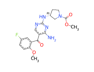 COC(=O)N1CC[C@@H](Nc2ncc(C(=O)c3cc(F)ccc3OC)c(N)n2)C1